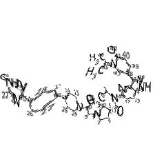 CCN(C(=O)[C@@H]1CCN(CC(=O)N2CC=C(c3ccc(-c4ncn(C)n4)cc3)CC2)C1)c1ccc2[nH]nc(-c3ccc(=O)n(C(C)C)c3)c2n1